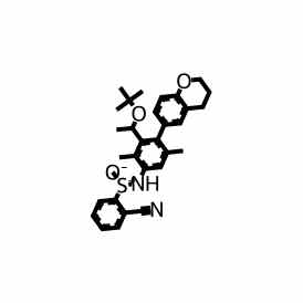 Cc1cc(N[S+]([O-])c2ccccc2C#N)c(C)c(C(C)OC(C)(C)C)c1-c1ccc2c(c1)CCCO2